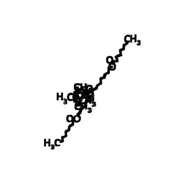 CCCCCCCCC(=O)OCCCCCCCCC(CCCCCCCCOC(=O)CCCCCCCC)OC(=O)CC(C)(C)CC(C)(C)CN(C)C